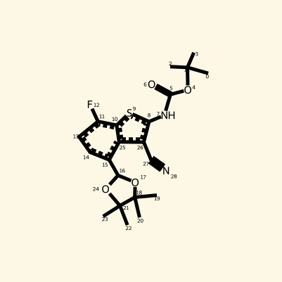 CC(C)(C)OC(=O)Nc1sc2c(F)ccc(C3OC(C)(C)C(C)(C)O3)c2c1C#N